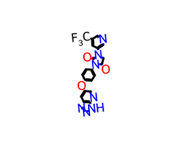 O=C1CN(c2cncc(C(F)(F)F)c2)C(=O)N1c1ccc(Oc2cnc3[nH]nnc3c2)cc1